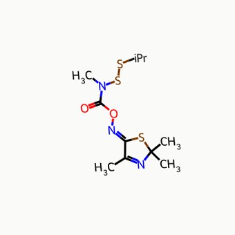 CC1=NC(C)(C)SC1=NOC(=O)N(C)SSC(C)C